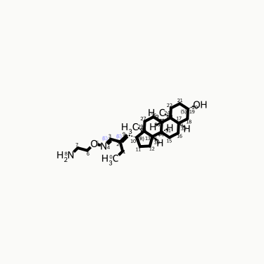 CCC(/C=N/OCCN)=C\[C@H]1CC[C@H]2[C@@H]3CC[C@@H]4C[C@@H](O)CC[C@]4(C)[C@H]3CC[C@]12C